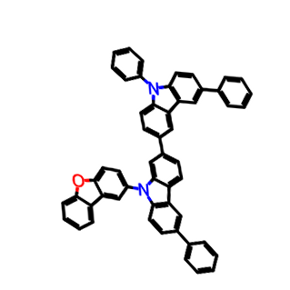 c1ccc(-c2ccc3c(c2)c2cc(-c4ccc5c6cc(-c7ccccc7)ccc6n(-c6ccc7oc8ccccc8c7c6)c5c4)ccc2n3-c2ccccc2)cc1